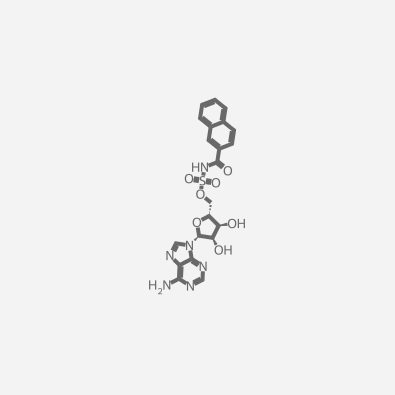 Nc1ncnc2c1ncn2[C@@H]1O[C@H](COS(=O)(=O)NC(=O)c2ccc3ccccc3c2)[C@@H](O)[C@H]1O